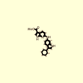 COC(=O)c1c[nH]c2nc(Nc3ccc4c(C5CCCCC5)c[nH]c4c3)ccc12